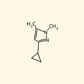 [CH2]c1cc(C2CC2)nn1C